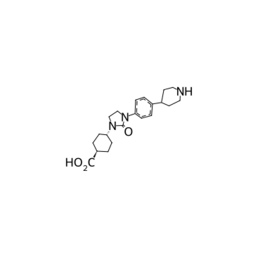 O=C1N(c2ccc(C3CCNCC3)cc2)CCN1[C@H]1CC[C@H](C(=O)O)CC1